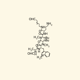 CCCCC(C(=O)NC(CCCN)C(=O)NCCSCC=O)N(C)C(=O)C(CCCC)N(C)C(=O)[C@@H](Cc1cn(C)c2ccccc12)NC(=O)[C@H](C)NC=O